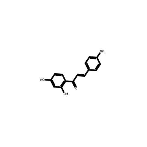 Nc1ccc(/C=C/C(=O)c2ccc(O)cc2O)cc1